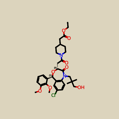 CCOC(=O)CC1CCN(C(=O)C[C@H]2O[C@H](c3cccc(OC)c3OC)c3cc(Cl)ccc3N(CC(C)(C)CO)C2=O)CC1